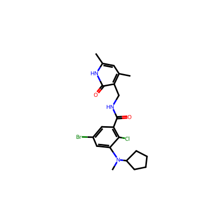 Cc1cc(C)c(CNC(=O)c2cc(Br)cc(N(C)C3CCCC3)c2Cl)c(=O)[nH]1